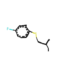 CC(C)CSc1ccc(F)cc1